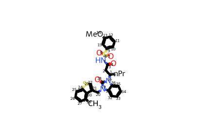 CCCC(CC(=O)NS(=O)(=O)c1cccc(OC)c1)n1c(=O)n(Cc2csc3cccc(C)c23)c2ccccc21